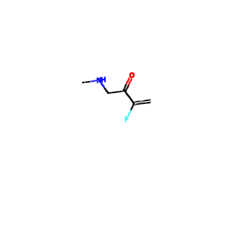 C=C(F)C(=O)CNC